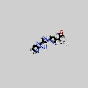 FC(F)(F)[C@@H](c1ccc(-n2cc(-c3nc4cccnc4[nH]3)cn2)nc1)C1COC1